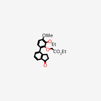 CCOC(=O)COc1c(-c2cccc3c2CCC3=O)ccc(OC)c1OCC